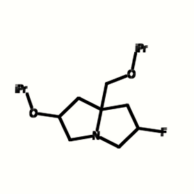 CC(C)OCC12CC(F)CN1CC(OC(C)C)C2